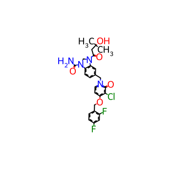 CC(C)(O)CC(=O)N1CN(C(N)=O)c2ccc(Cn3ccc(OCc4ccc(F)cc4F)c(Cl)c3=O)cc21